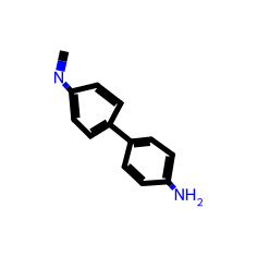 C=Nc1ccc(-c2ccc(N)cc2)cc1